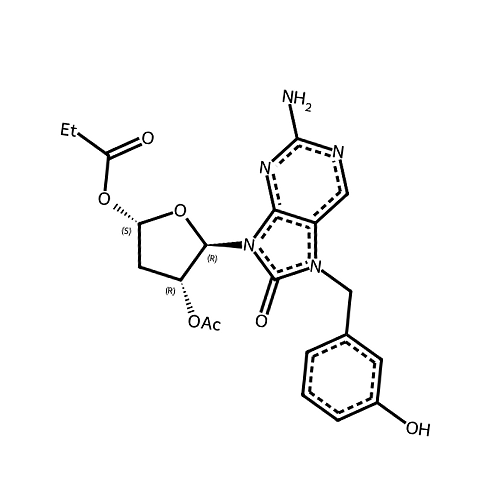 CCC(=O)O[C@H]1C[C@@H](OC(C)=O)[C@H](n2c(=O)n(Cc3cccc(O)c3)c3cnc(N)nc32)O1